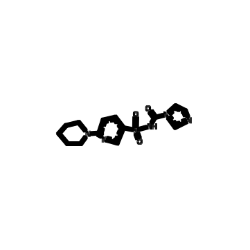 O=C(NS(=O)(=O)c1ccc(N2CCCCC2)nc1)n1ccnc1